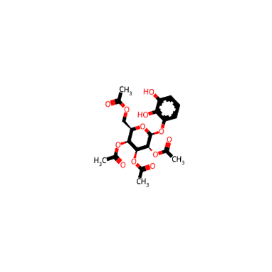 CC(=O)OC[C@H]1O[C@@H](Oc2cccc(O)c2O)[C@H](OC(C)=O)[C@@H](OC(C)=O)[C@H]1OC(C)=O